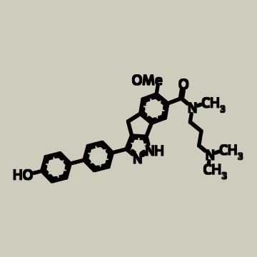 COc1cc2c(cc1C(=O)N(C)CCCN(C)C)-c1[nH]nc(-c3ccc(-c4ccc(O)cc4)cc3)c1C2